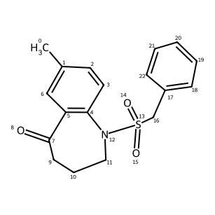 Cc1ccc2c(c1)C(=O)CCCN2S(=O)(=O)Cc1ccccc1